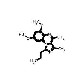 CCCc1nc(C)c2c(C)nc3c(OC)cc(OC)cc3n12